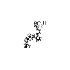 CC(C)CCOC(C)(C)C(O)C=C[C@H]1C=CC[C@@H]1C/C=C\CCCC(=O)O